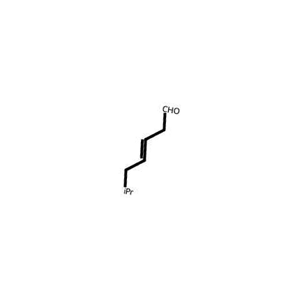 CC(C)CC=CCC=O